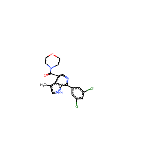 Cc1c[nH]c2c(-c3cc(Cl)cc(Cl)c3)ncc(C(=O)N3CCOCC3)c12